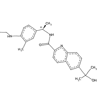 CCNc1ccc([C@@H](C)NC(=O)c2ccc3cc(C(C)(C)O)ccc3n2)cc1C